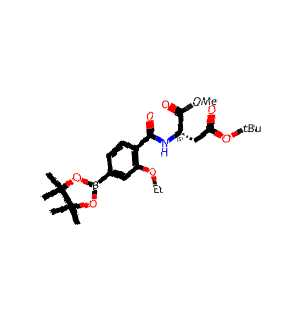 CCOc1cc(B2OC(C)(C)C(C)(C)O2)ccc1C(=O)N[C@@H](CC(=O)OC(C)(C)C)C(=O)OC